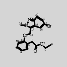 CCOC(=O)Cc1ccccc1OCc1c2cc(Br)ccc2nn1C